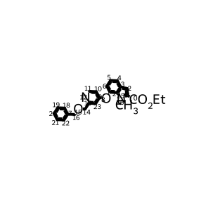 CCOC(=O)c1cc2cccc(Oc3ccnc(COCc4ccccc4)c3)c2n1C